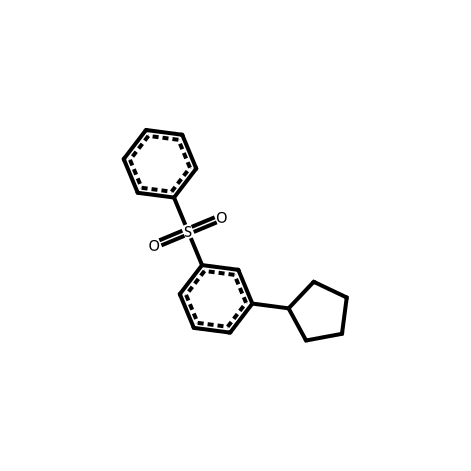 O=S(=O)(c1ccccc1)c1cccc(C2CCCC2)c1